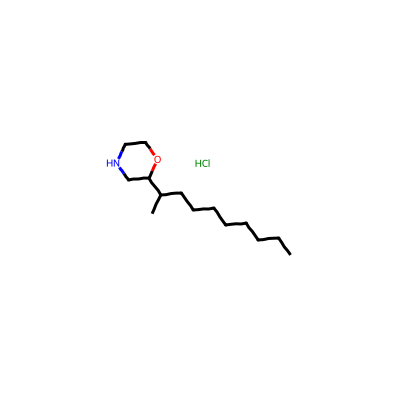 CCCCCCCCC(C)C1CNCCO1.Cl